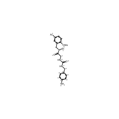 CCN(Cc1cc(C(C)=O)ccc1OC)C(=O)CNC(=O)NCc1ccc(N)cc1